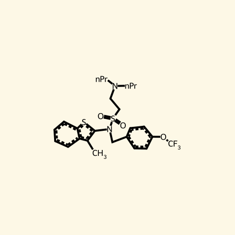 CCCN(CCC)CCS(=O)(=O)N(Cc1ccc(OC(F)(F)F)cc1)c1sc2ccccc2c1C